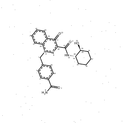 NC(=O)c1ccc(Cn2nc(C(=O)N[C@H]3CCCC[C@@H]3O)c(=O)c3ccccc32)cc1